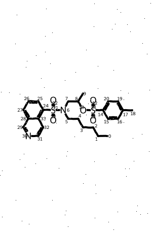 CCCCCCN(CC(C)OS(=O)(=O)c1ccc(C)cc1)S(=O)(=O)c1cccc2cnccc12